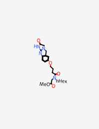 CCCCCCN(CC(=O)OC)C(=O)CCCOc1ccc2c(c1)CN1CC(=O)NC1=N2